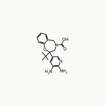 CC(C)(C)C1(c2cnc(N)c(N)c2)CN(C(=O)O)Cc2ccccc2O1